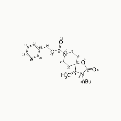 C=C1N(CCCC)C(=O)OC12CCN(C(=O)OCc1ccccc1)CC2